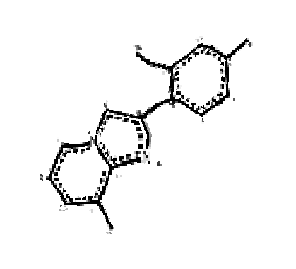 Cc1ccc(-c2cn3cccc(C)c3n2)c(C)c1